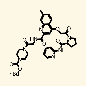 CCCCOC(=O)N1CCN(C(=O)CNC(=O)c2cc(OCC(=O)N3CCCC3C(=O)Nc3ccccn3)c3ccc(C)cc3n2)CC1